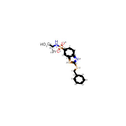 CC(C)[C@@H](NS(=O)(=O)c1ccc2nc(SCc3ccccc3)sc2c1)C(=O)O